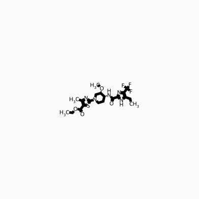 CCOC(=O)c1sc(N2CC[C@@H](NC(=O)c3nc(C(F)(F)F)c(CC)[nH]3)[C@@H](OC)C2)nc1C